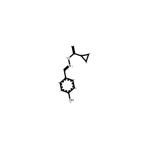 C=C(O/N=C/c1ccc(O)cc1)C1CC1